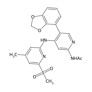 CC(=O)Nc1cc(Nc2cc(C)cc(S(C)(=O)=O)n2)c(-c2cccc3c2OCO3)cn1